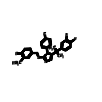 CC(C)(c1ccc(F)c(F)c1)c1cnc(SCc2ccc(F)c(C(=O)O)c2)n1-c1ccc(F)cc1